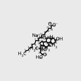 CCCCCCCCCCCCCCCCCC(=O)[O-].C[C@H](CCC(=O)O)[C@H]1CCC2C3C(C[C@H](O)[C@@]21C)[C@@]1(C)CC[C@@H](O)C[C@H]1C[C@H]3O.[Na+]